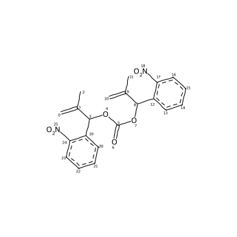 C=C(C)C(OC(=O)OC(C(=C)C)c1ccccc1[N+](=O)[O-])c1ccccc1[N+](=O)[O-]